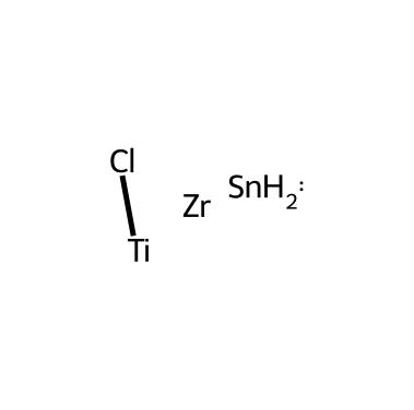 [Cl][Ti].[SnH2].[Zr]